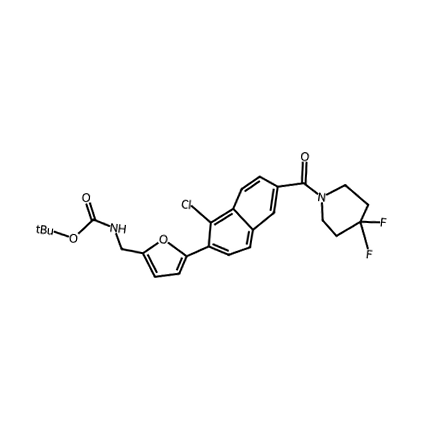 CC(C)(C)OC(=O)NCc1ccc(-c2ccc3cc(C(=O)N4CCC(F)(F)CC4)ccc3c2Cl)o1